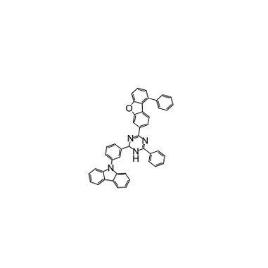 c1ccc(C2=NC(c3ccc4c(c3)oc3cccc(-c5ccccc5)c34)=NC(c3cccc(-n4c5ccccc5c5ccccc54)c3)N2)cc1